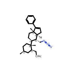 CC(=O)OC[C@H]1C[C@@H](C)CC[C@]1(C)[C@H]1CC[C@]2(C)C(c3ccccc3)=CC[C@H]2[C@@H]1CN=[N+]=[N-]